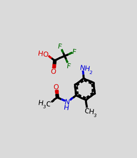 CC(=O)Nc1cc(N)ccc1C.O=C(O)C(F)(F)F